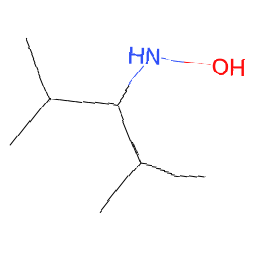 CC(C)C(NO)C(C)C